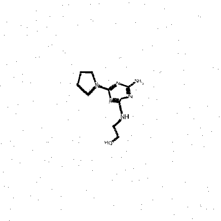 Nc1nc(NCCO)nc(N2CCCC2)n1